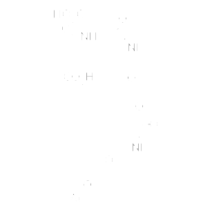 CC(=O)COCCOCCNC(C)(C)C(=O)COCCOCCNC(C)(C)C(=O)CCC(NC(=O)C(C)(C)CC(C)C(=O)O)C(=O)O